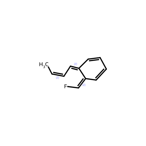 C\C=C/C=c1/cccc/c1=C/F